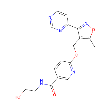 Cc1onc(-c2ccncn2)c1COc1ccc(C(=O)NCCO)cn1